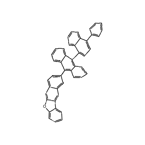 c1ccc(-c2ccc(-c3c4ccccc4c(-c4ccc5cc6oc7ccccc7c6cc5c4)c4ccccc34)c3ccccc23)cc1